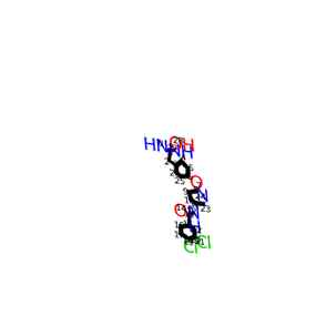 N=C(Cc1ccc(Oc2ccc(NC(=O)c3ccc(Cl)c(Cl)c3)cn2)cc1)NO